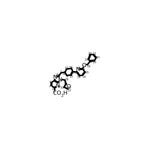 O=C(O)c1ccc2nc(CC3CC=C(c4cccc(OCc5ccccc5)n4)CC3)n(CC3CCO3)c2n1